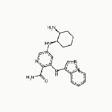 NC(=O)c1ncc(N[C@@H]2CCCC[C@@H]2N)cc1Nc1cnn2ccccc12